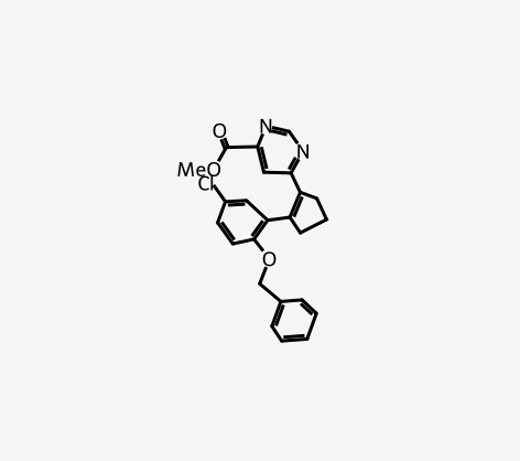 COC(=O)c1cc(C2=C(c3cc(Cl)ccc3OCc3ccccc3)CCC2)ncn1